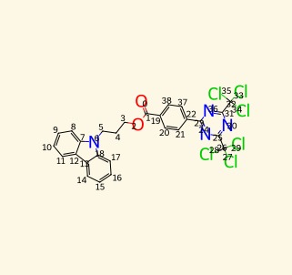 O=C(OCCCn1c2ccccc2c2ccccc21)c1ccc(-c2nc(C(Cl)(Cl)Cl)nc(C(Cl)(Cl)Cl)n2)cc1